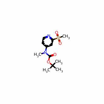 CN(C(=O)OC(C)(C)C)c1ccnc(S(C)(=O)=O)c1